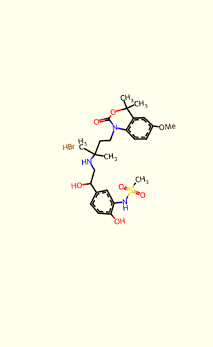 Br.COc1ccc2c(c1)C(C)(C)OC(=O)N2CCC(C)(C)NCC(O)c1ccc(O)c(NS(C)(=O)=O)c1